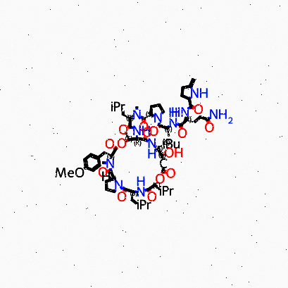 C=C1CCC(C(=O)N[C@H](CCC(N)=O)C(=O)N[C@@H](C)C(=O)N2CCC[C@H]2C(=O)N(C)[C@H](CC(C)C)C(=O)N[C@H]2C(=O)N[C@@H]([C@@H](C)CC)[C@@H](O)CC(=O)O[C@@H](C(C)C)C(=O)N[C@@H](CC(C)C)C(=O)N3CCC[C@H]3C(=O)N(C)[C@@H](Cc3ccc(OC)cc3)C(=O)O[C@H]2C)N1